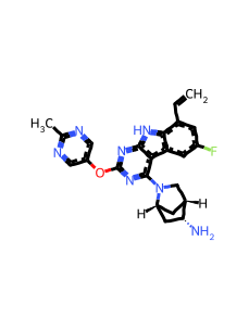 C=Cc1cc(F)cc2c1[nH]c1nc(Oc3cnc(C)nc3)nc(N3C[C@H]4C[C@@H]3C[C@H]4N)c12